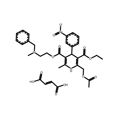 CCOC(=O)C1=C(COC(C)=O)NC(C)=C(C(=O)OCCN(C)Cc2ccccc2)C1c1cccc([N+](=O)[O-])c1.O=C(O)C=CC(=O)O